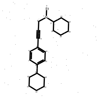 CCN(CC#Cc1ccc(C2CCCCC2)cc1)C1CCCCC1